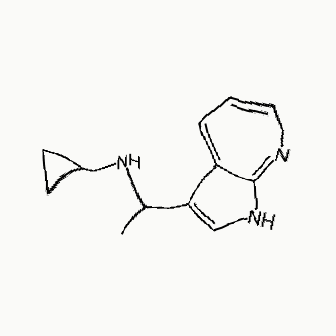 CC(NC1CC1)c1c[nH]c2ncccc12